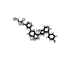 CC(C)(C)CC(=O)Nc1cncc(-c2ccc3[nH]nc(-c4cc5c(-c6ccc(F)cc6)cncc5[nH]4)c3c2)c1